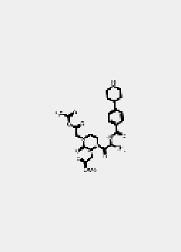 COC(=O)C[C@H]1C(=O)N(CC(=O)OC(=O)C(F)(F)F)CCN1C(=O)C(C)NC(=O)c1ccc(C2CCNCC2)cc1